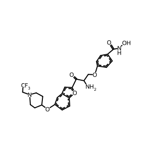 NC(COc1ccc(C(=O)NO)cc1)C(=O)c1cc2cc(OC3CCN(CC(F)(F)F)CC3)ccc2o1